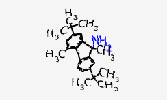 Cc1cc(C(C)(C)C)cc2c1-c1ccc(C(C)(C)C)cc1C2(C)N